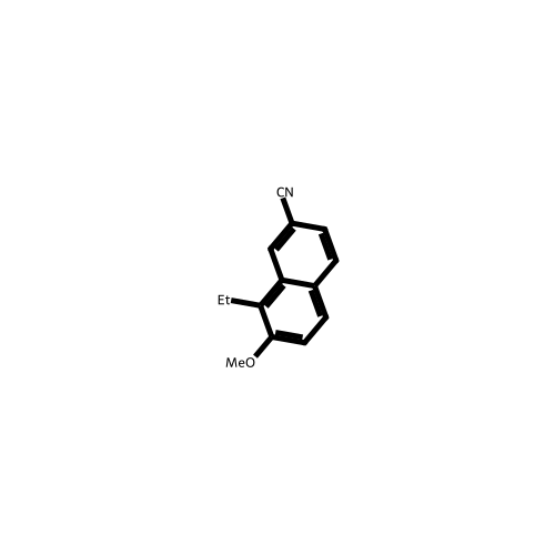 CCc1c(OC)ccc2ccc(C#N)cc12